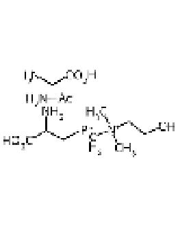 CC(C)CC(N)C(=O)O.CC(N)=O.C[N+](C)(C)CCO.NCC(=O)O